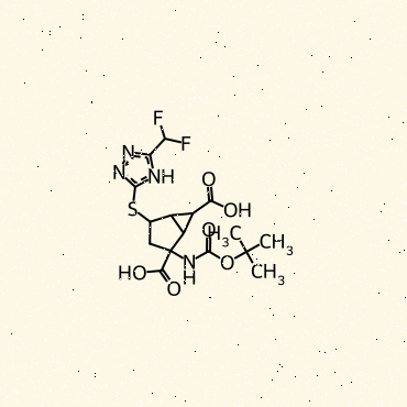 CC(C)(C)OC(=O)NC1(C(=O)O)CC(Sc2nnc(C(F)F)[nH]2)C2C(C(=O)O)C21